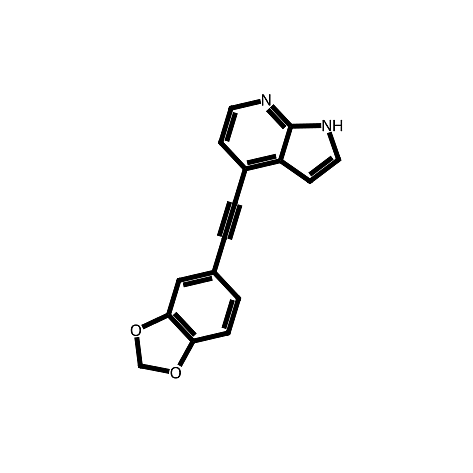 C(#Cc1ccnc2[nH]ccc12)c1ccc2c(c1)OCO2